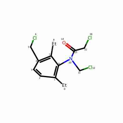 CCc1ccc(CCl)c(CC)c1N(CCl)C(=O)CCl